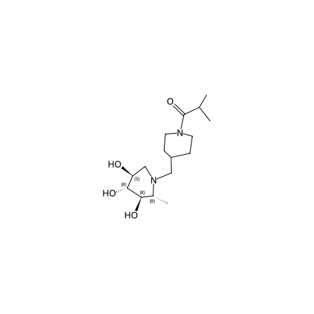 CC(C)C(=O)N1CCC(CN2C[C@H](O)[C@@H](O)[C@H](O)[C@H]2C)CC1